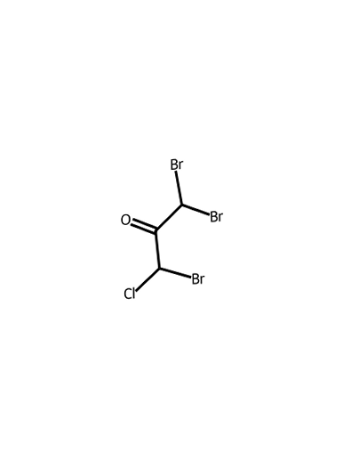 O=C(C(Cl)Br)C(Br)Br